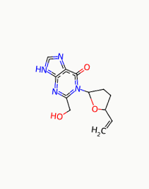 C=CC1CCC(n2c(CO)nc3[nH]cnc3c2=O)O1